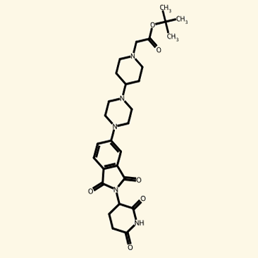 CC(C)(C)OC(=O)CN1CCC(N2CCN(c3ccc4c(c3)C(=O)N(C3CCC(=O)NC3=O)C4=O)CC2)CC1